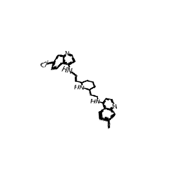 Cc1ccc2c(NCCC3CCCC(CCNc4ccnc5cc(Cl)ccc45)N3)ccnc2c1